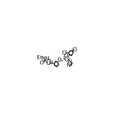 CCNC(=O)N1CCN(c2cccc(OC[C@@H]3CO[C@@](Cn4ccnc4)(c4ccc(Cl)cc4Cl)O3)c2)CC1